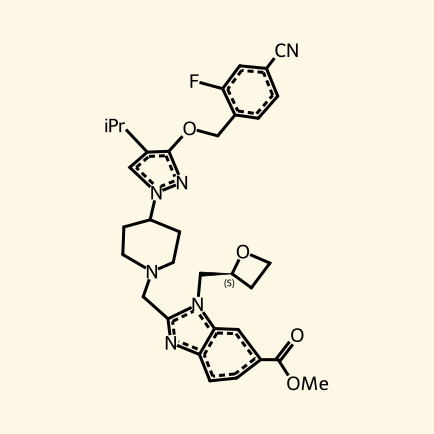 COC(=O)c1ccc2nc(CN3CCC(n4cc(C(C)C)c(OCc5ccc(C#N)cc5F)n4)CC3)n(C[C@@H]3CCO3)c2c1